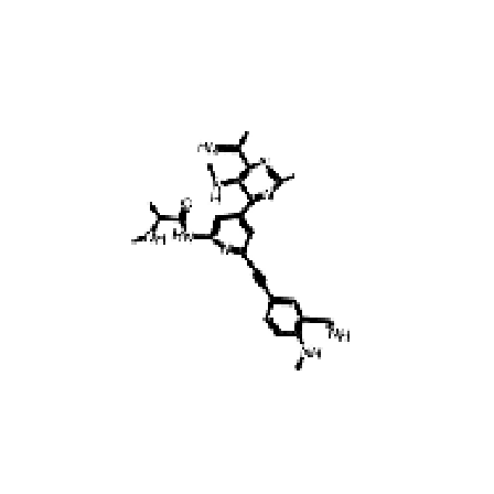 CNc1ccc(C#Cc2cc(-c3nc(C)nc(C(C)=N)c3NC)cc(NC(=O)C(C)NC)n2)cc1C=N